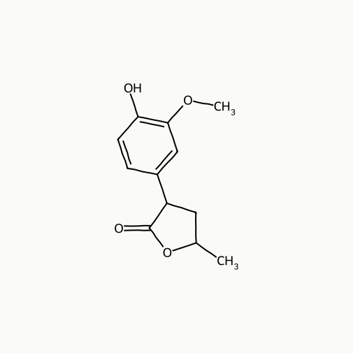 COc1cc(C2CC(C)OC2=O)ccc1O